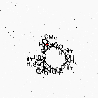 CC[C@H](C)[C@H]1NC(=O)[C@@H](NC(=O)[C@H](CC(C)C)N(C)C(=O)[C@@H]2CCCN2C(=O)C(C)=O)[C@@H](C)OC(=O)[C@H](Cc2ccc(OC)cc2)N(C)C(=O)[C@@H]2CCCN2C(=O)[C@H](CC(C)C)NC(O)[C@@H](C)C(=O)[C@H](C(C)C)OC(=O)C[C@@H]1O